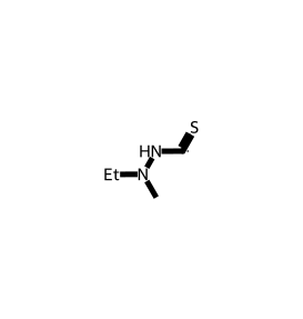 CCN(C)N[C]=S